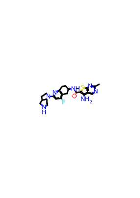 Cc1ncc2c(N)c(C(=O)NC3CCc4nc(N5CCC6CNCC65)cc(F)c4C3)sc2n1